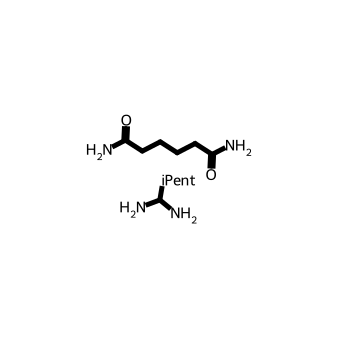 CCCC(C)C(N)N.NC(=O)CCCCC(N)=O